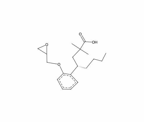 CCCC[C@@H](CC(C)(C)C(=O)O)c1ccccc1OCC1CO1